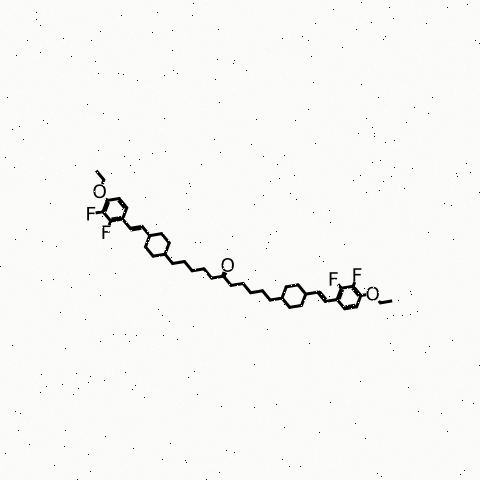 CCOc1ccc(/C=C/C2CCC(CCCCCC(=O)CCCCCC3CCC(/C=C/c4ccc(OCC)c(F)c4F)CC3)CC2)c(F)c1F